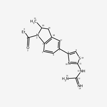 CCC(=O)N1c2ccc(-c3csc(NC(=N)N)n3)cc2CC1C